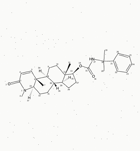 CN1C(=O)C=C[C@]2(C)[C@H]3CC[C@]4(C)[C@@H](OC(=O)NC(C)(C)c5ccccc5)CC[C@H]4[C@@H]3CC[C@@H]12